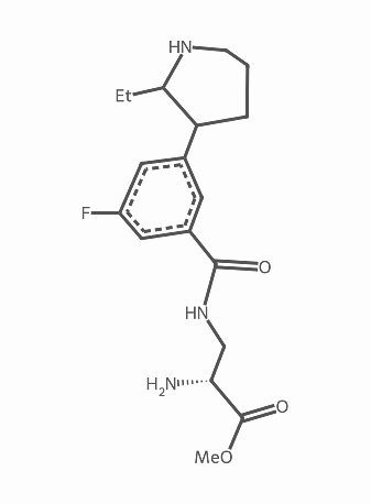 CCC1NCCCC1c1cc(F)cc(C(=O)NC[C@@H](N)C(=O)OC)c1